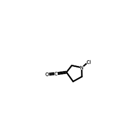 O=C=C1CCN(Cl)C1